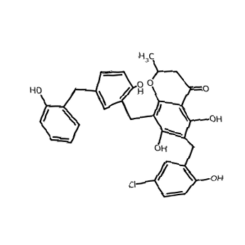 CC1CC(=O)c2c(O)c(Cc3cc(Cl)ccc3O)c(O)c(Cc3cc(Cc4ccccc4O)ccc3O)c2O1